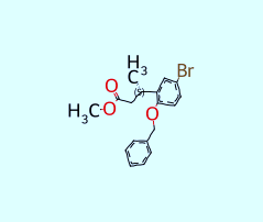 COC(=O)C[C@H](C)c1cc(Br)ccc1OCc1ccccc1